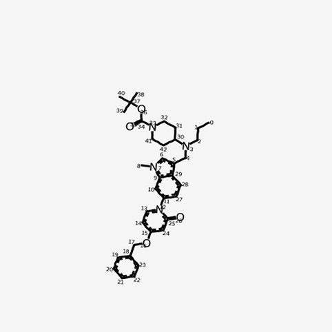 CCCN(Cc1cn(C)c2cc(-n3ccc(OCc4ccccc4)cc3=O)ccc12)C1CCN(C(=O)OC(C)(C)C)CC1